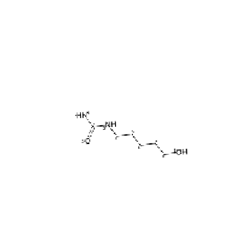 [NH]C(=O)NCCCCCO